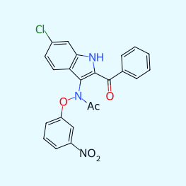 CC(=O)N(Oc1cccc([N+](=O)[O-])c1)c1c(C(=O)c2ccccc2)[nH]c2cc(Cl)ccc12